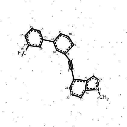 Cn1ncc2c(C#Cc3cccc(-c4cccc(C(F)(F)F)c4)c3)cncc21